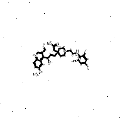 COc1ccc2ncc(CF)c([C@H](O)CCC3(CC(=O)O)CCN(CCNc4c(F)cc(F)cc4F)CC3)c2c1